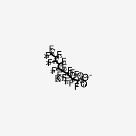 O=S(=O)([O-])C(F)C(F)(F)C(F)(F)C(F)(F)C(F)(F)C(F)C(F)C(F)C(F)C(F)F.[K+]